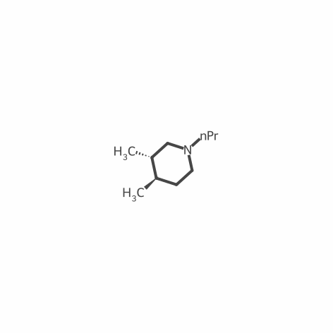 CCCN1CC[C@@H](C)[C@H](C)C1